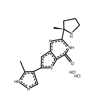 Cc1[nH]ncc1-c1cc2nc([C@]3(C)CCCN3)[nH]c(=O)c2s1.Cl.Cl